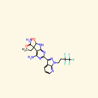 CCC1(C(N)=O)c2c(N)nc(-c3nn(CCC(F)(F)C(F)(F)F)c4ncccc34)nc2NC1O